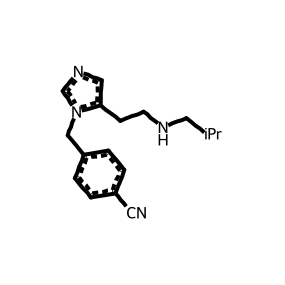 CC(C)CNCCc1cncn1Cc1ccc(C#N)cc1